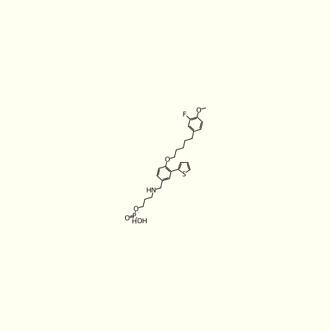 COc1ccc(CCCCCOc2ccc(CNCCCO[PH](=O)O)cc2-c2cccs2)cc1F